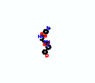 COc1cccc([C@@H]2CCCN(S(=O)(=O)NCC(C)CNS(=O)(=O)c3ccc(N(C)C)cc3)C2)c1